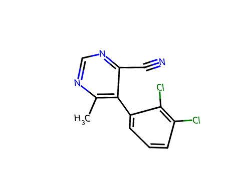 Cc1ncnc(C#N)c1-c1cccc(Cl)c1Cl